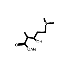 COC(=O)C(C)C(O)CCN(C)C